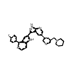 Fc1ccc(-c2nccc3[nH]c(-c4n[nH]c5ncc(-c6cncc(CN7CCCCC7)c6)cc45)cc23)cc1